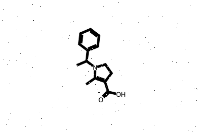 CC1=C(C(=O)O)CCN1C(C)c1ccccc1